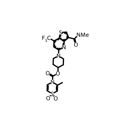 CNC(=O)c1csc2c(C(F)(F)F)cc(N3CCC(OC(=O)N4C=CS(=O)(=O)C=C4C)CC3)nc12